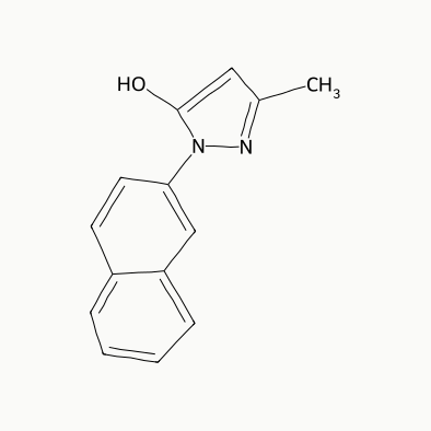 Cc1cc(O)n(-c2ccc3ccccc3c2)n1